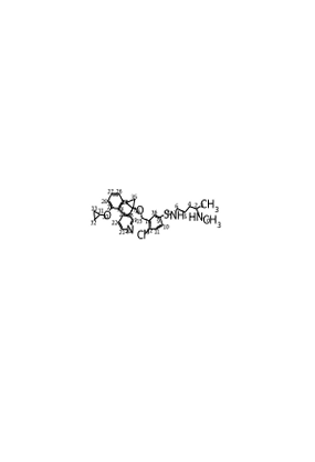 CNC(C)CCCNSc1ccc(Cl)c(COC2(c3cnccc3-c3ccccc3OC3CC3)CC2)c1